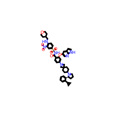 O=C(NS(=O)(=O)c1ccc(NCC2CCOCC2)c([N+](=O)[O-])c1)c1ccc(N2CC3(CCC(N4CCC[C@H]4c4ccccc4C4CC4)CC3)C2)cc1Oc1cnc2[nH]ccc2c1